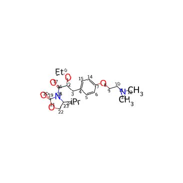 CCOC(Cc1ccc(OCCN(C)C)cc1)C(=O)N1C(=O)OCC1C(C)C